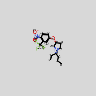 CCCC(CC)N1CCC(Oc2ccc([N+](=O)[O-])c(C(F)(F)F)c2)C1